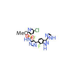 COc1ncc(Cl)cc1S(=O)(=O)Nc1ncnc(-c2ccc3c(-c4ncc[nH]4)n[nH]c3c2F)c1F